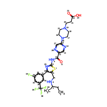 CCC(C)NCc1sc(NC(=O)c2cnc(N3CCN(CCC(=O)O)CC3)cn2)nc1-c1cc(F)cc(C(F)(F)F)c1